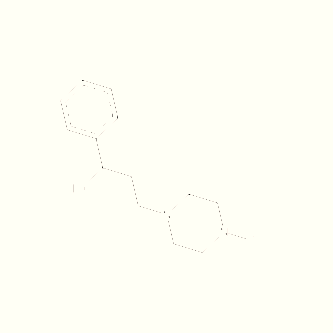 CN1CCN(CCC(O)c2ccccc2)CC1